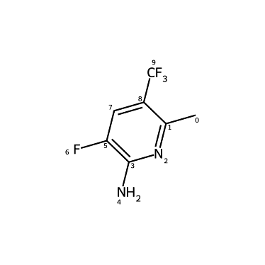 Cc1nc(N)c(F)cc1C(F)(F)F